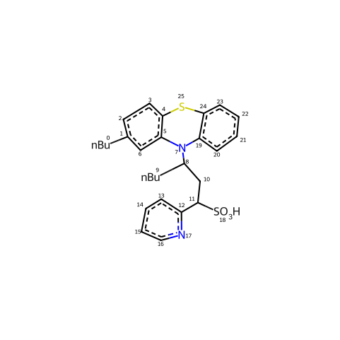 CCCCc1ccc2c(c1)N(C(CCCC)CC(c1ccccn1)S(=O)(=O)O)c1ccccc1S2